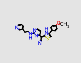 COc1ccc(C2=CS/C(=C(\C#N)c3ccnc(NCCc4cccnc4)n3)N2)cc1